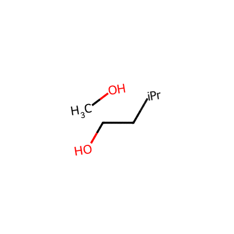 CC(C)CCO.CO